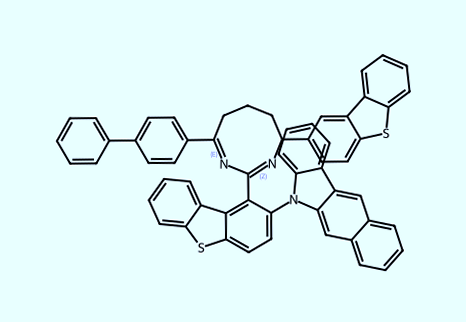 c1ccc(-c2ccc(/C3=N/C(c4c(-n5c6ccccc6c6cc7ccccc7cc65)ccc5sc6ccccc6c45)=N\C(c4ccc5sc6ccccc6c5c4)CCC3)cc2)cc1